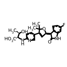 C[C@@H](O)[C@H](Nc1ccc(C2=C/C(=C3\C(=O)Nc4cc(F)ccc43)OC2(C)C)cn1)C(=O)O